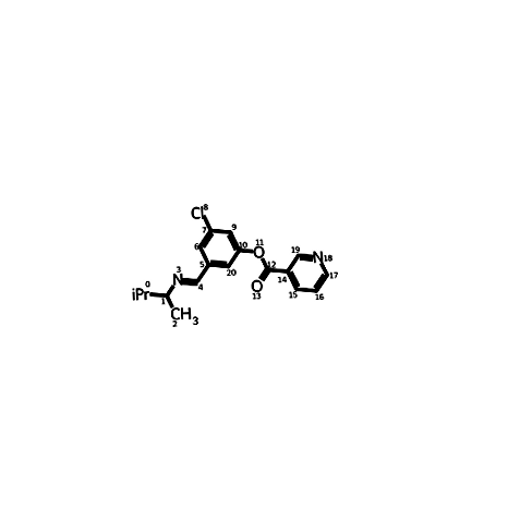 CC(C)C(C)N=Cc1cc(Cl)cc(OC(=O)c2cccnc2)c1